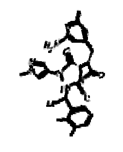 CCC(NC(=O)N1C(=O)[C@H](Cc2cc(C)nc(N)c2)[C@H]1C(=O)N(C)c1cnn(C)c1)c1cccc(C)c1C